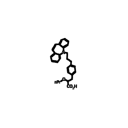 CCCOC(Cc1ccc(CCCN2c3ccccc3C=Cc3ccccc32)cc1)C(=O)O